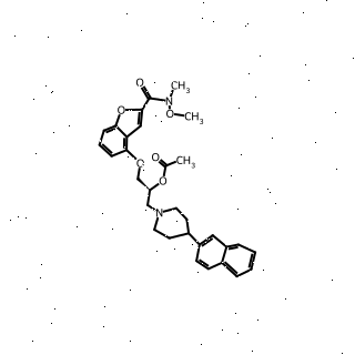 CON(C)C(=O)c1cc2c(OC[C@H](CN3CCC(c4ccc5ccccc5c4)CC3)OC(C)=O)cccc2o1